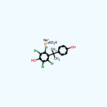 CC(C)(c1ccc(O)cc1)c1c(Br)c(Br)c(O)c(Br)c1Br.O=S(=O)([O-])O.[Na+]